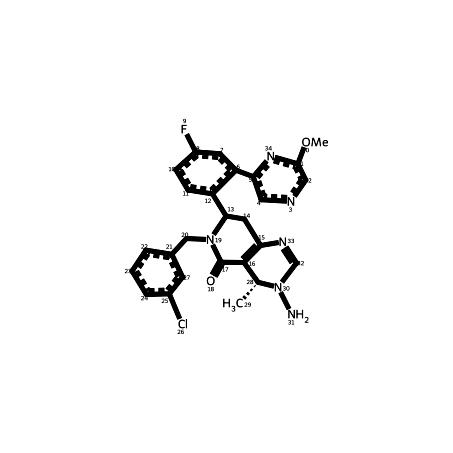 COc1cncc(-c2cc(F)ccc2C2CC3=C(C(=O)N2Cc2cccc(Cl)c2)[C@@H](C)N(N)C=N3)n1